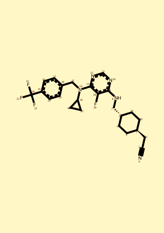 N#CC[C@H]1CC[C@H](CNc2ncnc(N(Cc3ccc(C(F)(F)F)cc3)C3CC3)c2F)CC1